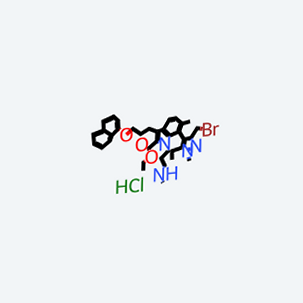 CCOC(=O)c1c(CCCOc2cccc3ccccc23)c2ccc(C)c(-c3c(CBr)nn(C)c3CC)c2n1CCCNC.Cl